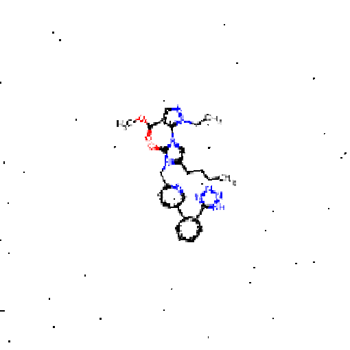 CCCCc1cn(-c2c(C(=O)OC)cnn2CC)c(=O)n1Cc1ccc(-c2ccccc2-c2nnn[nH]2)cn1